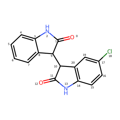 O=C1Nc2ccccc2C1C1C(=O)Nc2ccc(Cl)cc21